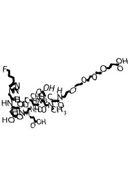 CC(C)[C@H](NC(=O)[C@H](CCC(=O)O)NC(=O)[C@@H](CC(=O)O)NC(=O)Cn1cc(CCCF)nn1)C(=O)N[C@H](CC(=O)O)C(=O)N(C)[C@@H](C)C(=O)NCCOCCOCCOCCOCCC(=O)O